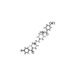 CCOc1ccc(C(=O)NC2CCC(CCN3CCC(C(=O)c4ccc(F)cc4)CC3)CC2)cc1